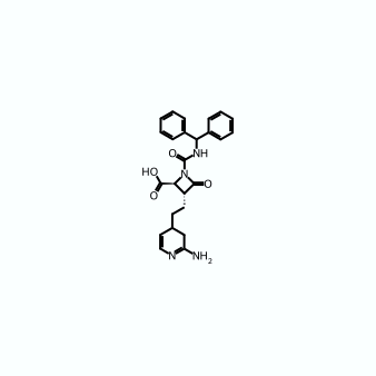 NC1=NC=CC(CC[C@H]2C(=O)N(C(=O)NC(c3ccccc3)c3ccccc3)[C@@H]2C(=O)O)C1